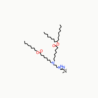 CCCCCCCCCOC(=O)CCCCCCCN(CCCCCCCC(=O)OC(CCCCCCCC)CCCCCCCC)CCCn1cc([Si](C)(C)C)nn1